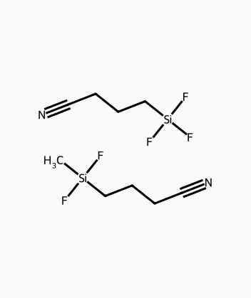 C[Si](F)(F)CCCC#N.N#CCCC[Si](F)(F)F